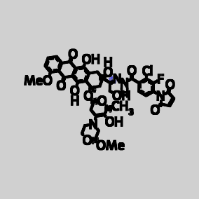 COc1cccc2c1C(=O)c1c(O)c3c(c(O)c1C2=O)C[C@@](O)(/C(CO)=N/NC(=O)c1ccc(N2C(=O)C=CC2=O)c(F)c1Cl)C[C@@H]3O[C@H]1CC(N2CCO[C@H](OC)C2)=C(O)[C@H](C)O1